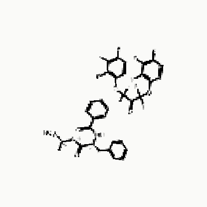 C[C@H](NC(=O)[C@H](Cc1ccccc1)NC(=O)c1ccccc1)C(=O)O.O=C(C(F)(F)Oc1ccc(F)c(F)c1F)C(F)(F)Oc1ccc(F)c(F)c1F